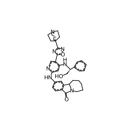 O=C1c2ccc(Nc3cc(N[C@H](CO)c4ccccc4)c(-c4nc(C56CCN(CC5)CC6)no4)cn3)cc2C2CCCCCN12